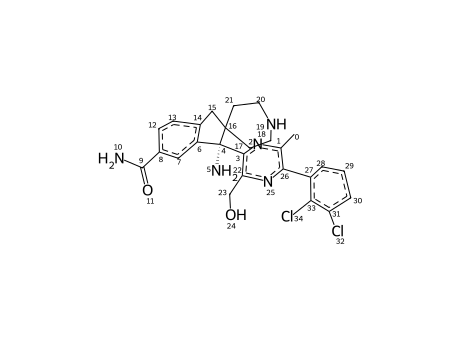 Cc1nc([C@@]2(N)c3cc(C(N)=O)ccc3CC23CCNCC3)c(CO)nc1-c1cccc(Cl)c1Cl